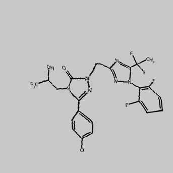 CC(F)(F)c1nc(Cn2nc(-c3ccc(Cl)cc3)n(CC(O)C(F)(F)F)c2=O)nn1-c1c(F)cccc1F